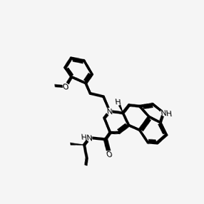 CC[C@@H](C)NC(=O)C1C=C2c3cccc4[nH]cc(c34)C[C@H]2N(CCc2ccccc2OC)C1